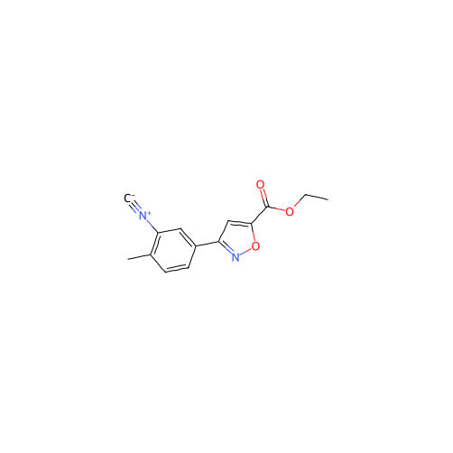 [C-]#[N+]c1cc(-c2cc(C(=O)OCC)on2)ccc1C